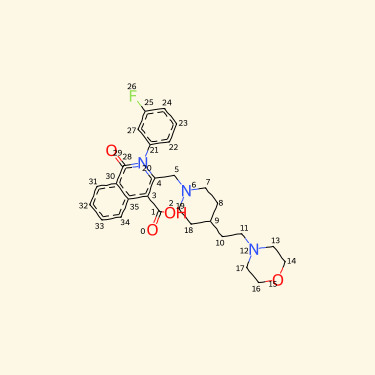 O=C(O)c1c(CN2CCC(CCN3CCOCC3)CC2)n(-c2cccc(F)c2)c(=O)c2ccccc12